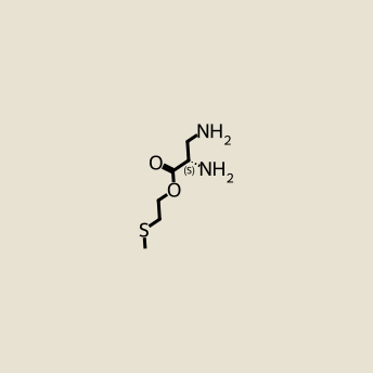 CSCCOC(=O)[C@@H](N)CN